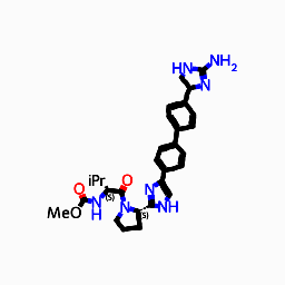 COC(=O)N[C@H](C(=O)N1CCC[C@H]1c1nc(-c2ccc(-c3ccc(C4CNC(N)=N4)cc3)cc2)c[nH]1)C(C)C